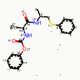 CC(CSc1ccccc1)NC(=O)[C@@H](NC(=O)Oc1ccccc1)C(C)C